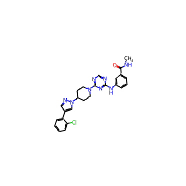 CNC(=O)c1cccc(Nc2ncnc(N3CCC(n4cc(-c5ccccc5Cl)cn4)CC3)n2)c1